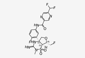 CN1C(=N)N[C@@]2(c3cc(NC(=O)c4cnc(C(F)F)cn4)ccc3F)CO[C@H](CF)[C@H]2S1(=O)=O